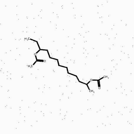 CCC(CCCCCCCCC(C)OC(C)=O)OC(C)=O